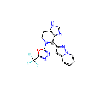 FC(F)(F)c1nnc(N2CCc3[nH]cnc3[C@H]2c2cc3ccccn3n2)o1